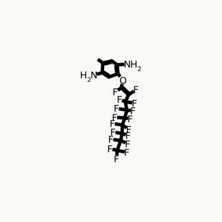 Cc1cc(N)c(OC(F)=C(F)C(F)(F)C(F)(F)C(F)(F)C(F)(F)C(F)(F)C(F)(F)C(F)(F)F)cc1N